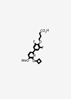 COc1ccc(-c2cc(F)c(OCCCC(=O)O)c(F)c2)nc1OC1CCC1